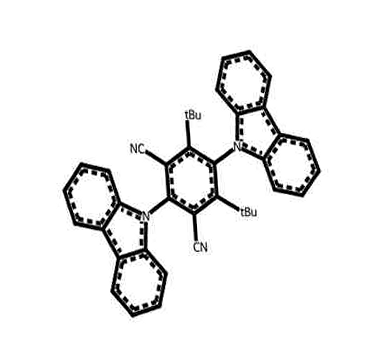 CC(C)(C)c1c(C#N)c(-n2c3ccccc3c3ccccc32)c(C#N)c(C(C)(C)C)c1-n1c2ccccc2c2ccccc21